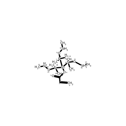 C=CC(=O)O[Si]([Si](C)(C)O[SiH2]C)([Si](C)(C)O[SiH2]C)[Si](C)(C)O[SiH2]C